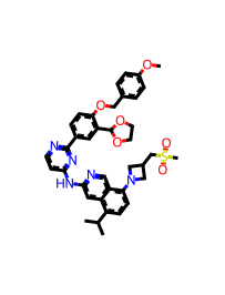 COc1ccc(COc2ccc(-c3nccc(Nc4cc5c(C(C)C)ccc(N6CC(CS(C)(=O)=O)C6)c5cn4)n3)cc2C2OCCO2)cc1